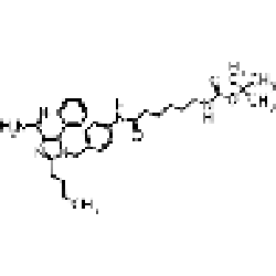 CCCCc1nc2c(N)nc3ccccc3c2n1Cc1ccc(NC(=O)CCCCCNC(=O)OC(C)(C)C)cc1